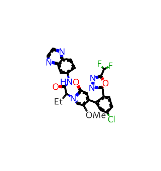 CCC(C(=O)Nc1ccc2nccnc2c1)n1cc(OC)c(-c2cc(Cl)ccc2-c2nnc(C(F)F)o2)cc1=O